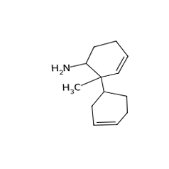 CC1(C2CC=CCC2)C=CCCC1N